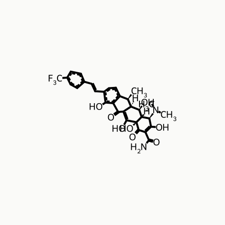 C[C@@H]1c2ccc(/C=C/c3ccc(C(F)(F)F)cc3)c(O)c2C(=O)C2=C(O)[C@@]3(O)C(=O)C(C(N)=O)=C(O)[C@H](N(C)C)[C@H]3[C@H](O)[C@@H]21